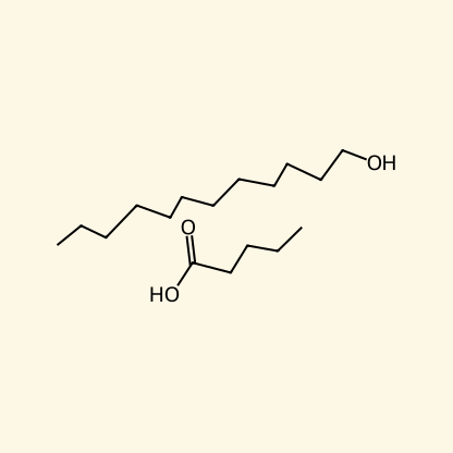 CCCCC(=O)O.CCCCCCCCCCCCO